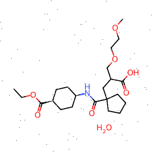 CCOC(=O)[C@H]1CC[C@@H](NC(=O)C2(CC(COCCOC)C(=O)O)CCCC2)CC1.O